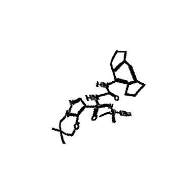 CC1(C)COc2c(S(=O)(=N[Si](C)(C)C(C)(C)C)NC(=O)Nc3c4c(cc5c3CCC5)CCC4)cnn2C1